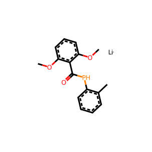 COc1cccc(OC)c1C(=O)Pc1ccccc1C.[Li]